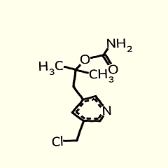 CC(C)(Cc1cncc(CCl)c1)OC(N)=O